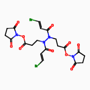 O=C(CCN(C(=O)/C=C/Br)N(CCC(=O)ON1C(=O)CCC1=O)C(=O)/C=C/Br)ON1C(=O)CCC1=O